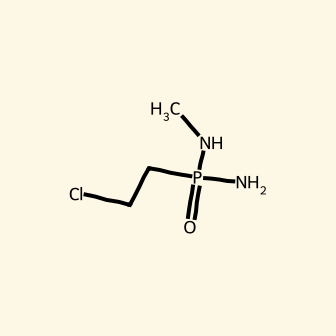 CNP(N)(=O)CCCl